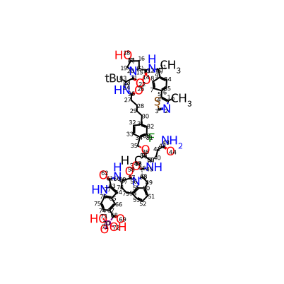 Cc1ncsc1-c1ccc([C@H](C)NC(=O)[C@@H]2C[C@@H](O)CN2C(=O)[C@@H](NC(=O)CCCCc2ccc(CO[C@H](C)[C@H](CCC(N)=O)NC(=O)[C@@H]3Cc4cccc5c4N3C(=O)[C@@H](NC(=O)c3cc4cc(C(=O)P(=O)(O)O)ccc4[nH]3)CC5)c(F)c2)C(C)(C)C)cc1